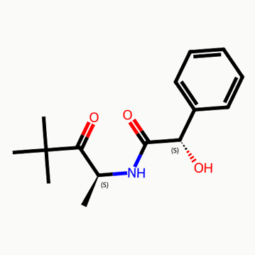 C[C@H](NC(=O)[C@@H](O)c1ccccc1)C(=O)C(C)(C)C